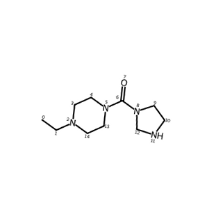 CCN1CCN(C(=O)N2CCNC2)CC1